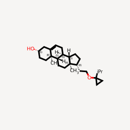 CC(C)C1(OCC[C@H]2CC[C@H]3[C@@H]4CC=C5C[C@@H](O)CC[C@]5(C)[C@H]4CC[C@]23C)CC1